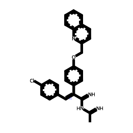 CC(=N)NC(=N)/C(=C/c1ccc(Cl)cc1)c1ccc(OCc2ccc3ccccc3n2)cc1